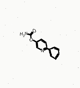 NC(=O)Oc1ccc(-c2ccccc2)nc1